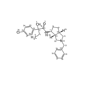 CCC(C)(C(=O)N[C@H]1CC[C@@H]2CN(Cc3ccccc3)C[C@@H]21)c1ccc(Cl)cc1